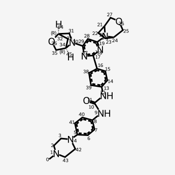 CN1CCN(c2ccc(NC(=O)Nc3ccc(-c4nc(N5C6CCC5COC6)cc(N5C[C@H]6C[C@@H]5CO6)n4)cc3)cc2)CC1